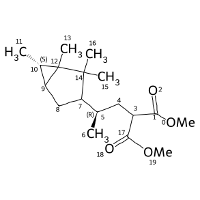 COC(=O)C(C[C@@H](C)C1CC2[C@H](C)C2(C)C1(C)C)C(=O)OC